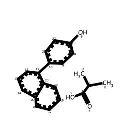 CC(C)C(=O)O.Oc1ccc(-c2cccc3ccccc23)cc1